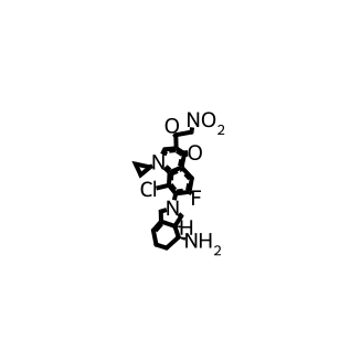 N[C@H]1CCC=C2CN(c3c(F)cc4c(=O)c(C(=O)C[N+](=O)[O-])cn(C5CC5)c4c3Cl)C[C@H]21